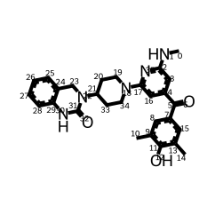 CNc1cc(C(=O)c2cc(C)c(O)c(C)c2)cc(N2CCC(N3Cc4ccccc4NC3=O)CC2)n1